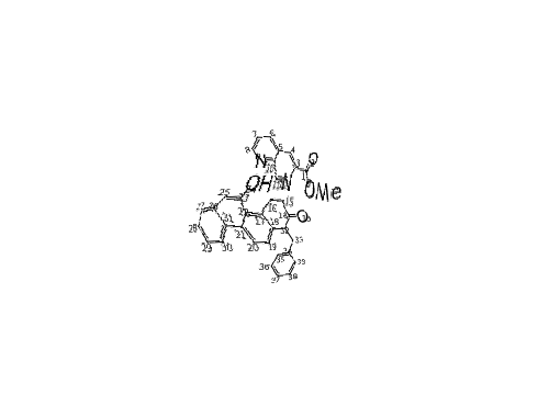 COC(=O)c1cc2cccnc2cn1.O=C1CCc2c(ccc3c2c(O)cc2ccccc23)C1Cc1ccccc1